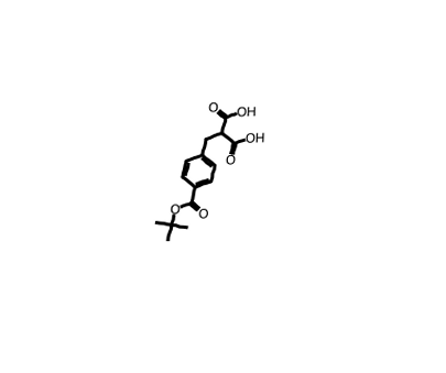 CC(C)(C)OC(=O)c1ccc(CC(C(=O)O)C(=O)O)cc1